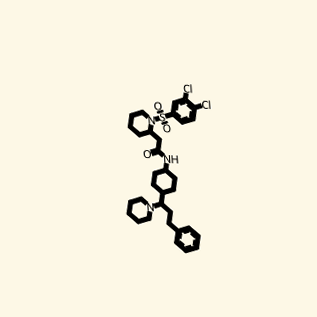 O=C(CC1CCCCN1S(=O)(=O)c1ccc(Cl)c(Cl)c1)NC1CCC(C(CCc2ccccc2)N2CCCCC2)CC1